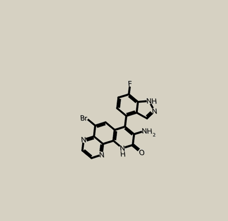 Nc1c(-c2ccc(F)c3[nH]ncc23)c2cc(Br)c3nccnc3c2[nH]c1=O